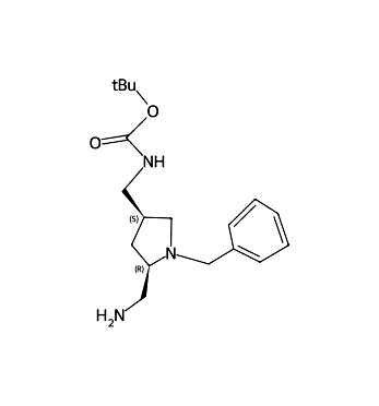 CC(C)(C)OC(=O)NC[C@@H]1C[C@H](CN)N(Cc2ccccc2)C1